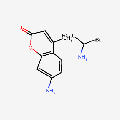 CCC(C)C(N)C(=O)O.Cc1cc(=O)oc2cc(N)ccc12